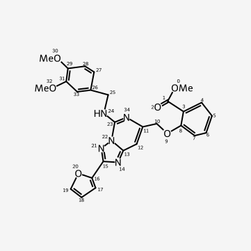 COC(=O)c1ccccc1OCc1cc2nc(-c3ccco3)nn2c(NCc2ccc(OC)c(OC)c2)n1